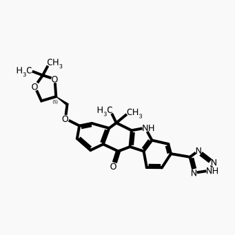 CC1(C)OC[C@H](COc2ccc3c(c2)C(C)(C)c2[nH]c4cc(-c5nn[nH]n5)ccc4c2C3=O)O1